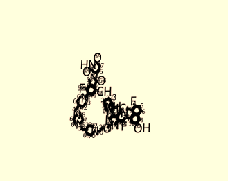 C#Cc1c(F)ccc2cc(O)cc(-c3ncc4c(N5CC6CCC(C5)N6)nc(OCCN5CCC(CN6CCN(CC7CCN(c8cc(C)c9c(c8F)CN(C8CCC(=O)NC8=O)C9=O)CC7)CC6)CC5)nc4c3F)c12